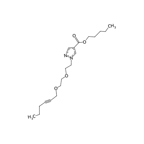 CCCC#CCOCCOCCn1cc(C(=O)OCCCCC)cn1